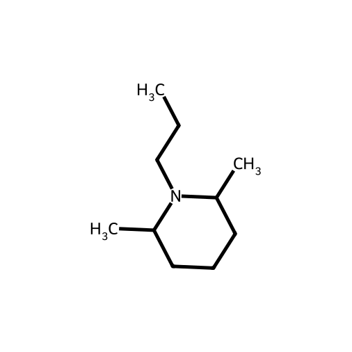 CCCN1C(C)CCCC1C